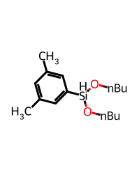 CCCCO[SiH](OCCCC)c1cc(C)cc(C)c1